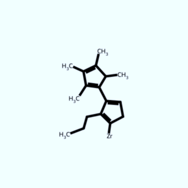 CCCC1=[C]([Zr])CC=C1C1=C(C)C(C)=C(C)C1C